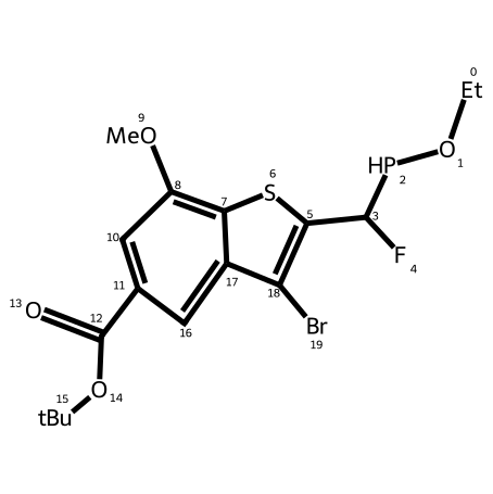 CCOPC(F)c1sc2c(OC)cc(C(=O)OC(C)(C)C)cc2c1Br